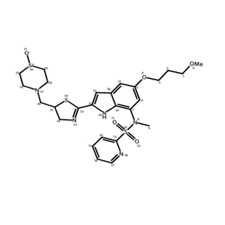 COCCCOc1cc(N(C)S(=O)(=O)c2ccccn2)c2[nH]c(C3=NCC(CN4CC[S+]([O-])CC4)S3)cc2c1